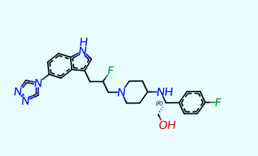 OC[C@H](NC1CCN(CC(F)Cc2c[nH]c3ccc(-n4cnnc4)cc23)CC1)c1ccc(F)cc1